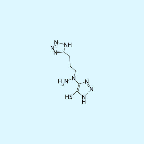 NN(CCCc1nnn[nH]1)c1nn[nH]c1S